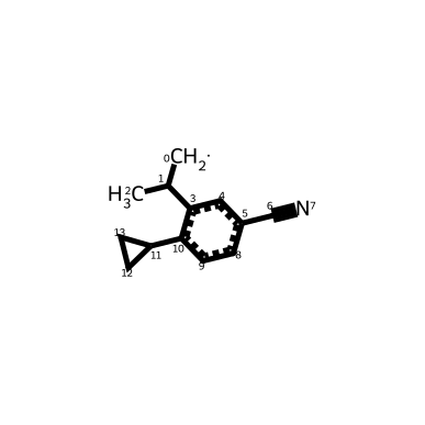 [CH2]C(C)c1cc(C#N)ccc1C1CC1